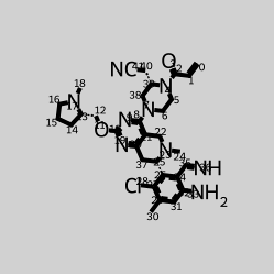 C=CC(=O)N1CCN(c2nc(OC[C@@H]3CCCN3C)nc3c2CN(C)[C@H](c2c(Cl)c(C)cc(N)c2C=N)C3)C[C@@H]1CC#N